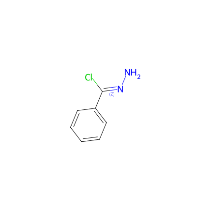 N/N=C(\Cl)c1ccccc1